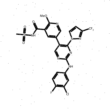 COc1ncc(-c2cnc(Nc3ccc(F)c(Cl)c3)nc2-n2ccc(C(F)(F)F)n2)cc1C(=O)NS(C)(=O)=O